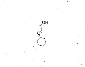 O[CH]COC1CCCCC1